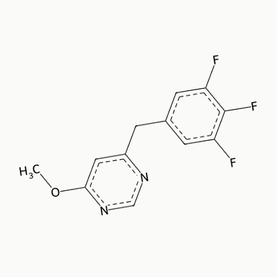 COc1cc(Cc2cc(F)c(F)c(F)c2)ncn1